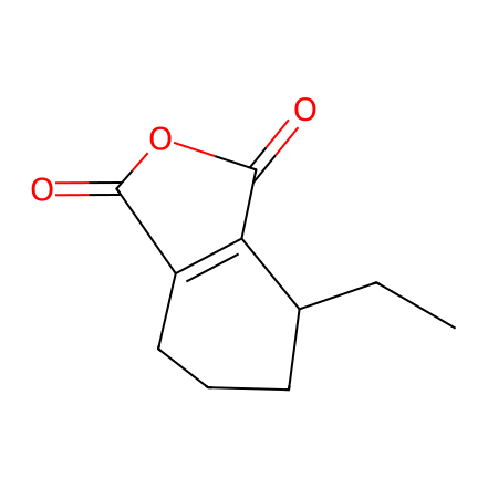 CCC1CCCC2=C1C(=O)OC2=O